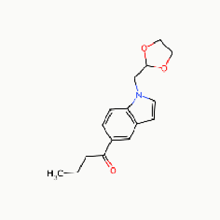 CCCC(=O)c1ccc2c(ccn2CC2OCCO2)c1